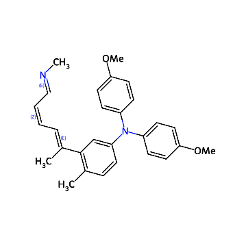 C/N=C/C=C\C=C(/C)c1cc(N(c2ccc(OC)cc2)c2ccc(OC)cc2)ccc1C